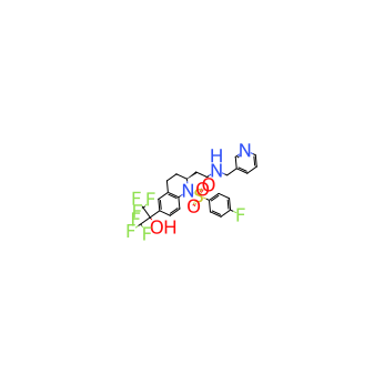 O=C(C[C@@H]1CCc2cc(C(O)(C(F)(F)F)C(F)(F)F)ccc2N1S(=O)(=O)c1ccc(F)cc1)NCc1cccnc1